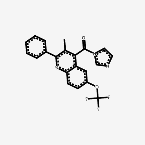 Cc1c(-c2ccccc2)nc2ccc(OC(F)(F)F)cc2c1C(=O)n1ccnc1